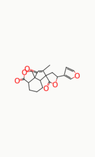 CC1=CC(=O)C23COC(=O)C2CCCC3C12CC(c1ccoc1)OC2=O